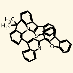 CC1(C)c2cccc(-c3cc(-c4cccc5c4oc4ccccc45)nc4ccccc34)c2-n2c3sc4ccccc4c3c3cccc1c32